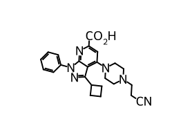 N#CCCN1CCN(c2cc(C(=O)O)nc3c2c(C2CCC2)nn3-c2ccccc2)CC1